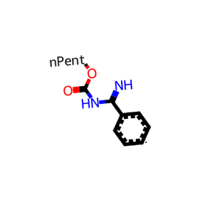 CCCCCOC(=O)NC(=N)c1cc[c]cc1